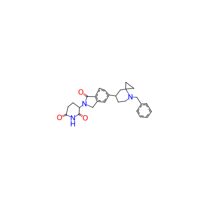 O=C1CCC(N2Cc3cc(C4CCN(Cc5ccccc5)C5(CC5)C4)ccc3C2=O)C(=O)N1